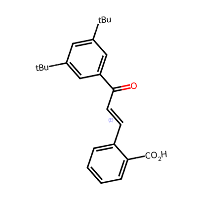 CC(C)(C)c1cc(C(=O)/C=C/c2ccccc2C(=O)O)cc(C(C)(C)C)c1